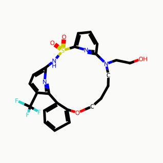 O=S1(=O)Nc2ccc(C(F)(F)F)c(n2)-c2ccccc2OCCCCN(CCO)c2cccc1n2